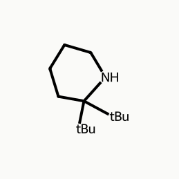 CC(C)(C)C1(C(C)(C)C)CCCCN1